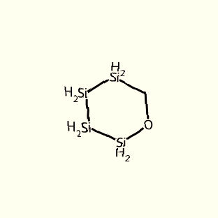 C1O[SiH2][SiH2][SiH2][SiH2]1